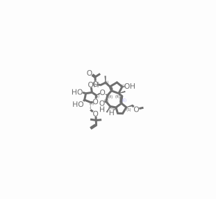 C=CC(C)(C)OC[C@H]1O[C@H](O[C@@H]2C3=C([C@H](C)COC(C)=O)C[C@H](O)[C@]3(C)/C=C3/[C@@H](COC)CC[C@H]3[C@@H](C)[C@H]2O)C(O)C(O)C1O